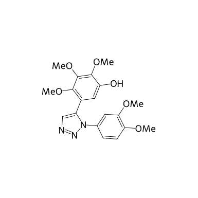 COc1ccc(-n2nncc2-c2cc(O)c(OC)c(OC)c2OC)cc1OC